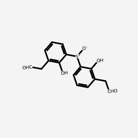 O=CCc1cccc([S+]([O-])c2cccc(CC=O)c2O)c1O